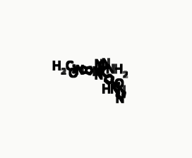 C=CC(=O)N1CC2CC(n3nc(-c4ccc(C(=O)Nc5cnccn5)cc4)c4c(N)ncnc43)CC2C1